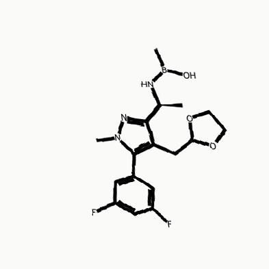 CB(O)N[C@@H](C)c1nn(C)c(-c2cc(F)cc(F)c2)c1CC1OCCO1